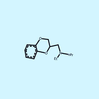 CCCN(CC)CC1COc2cc[c]cc2O1